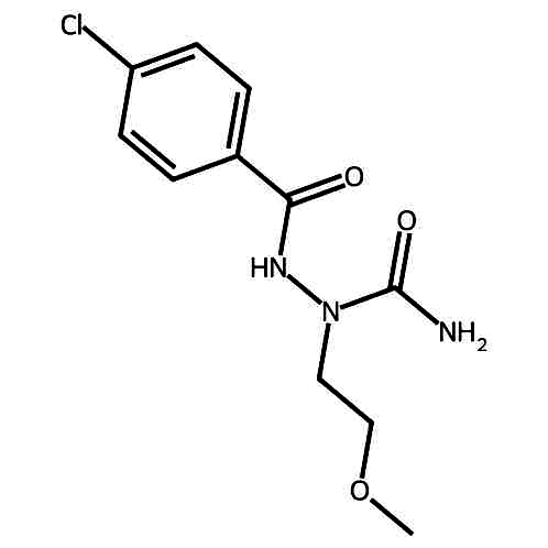 COCCN(NC(=O)c1ccc(Cl)cc1)C(N)=O